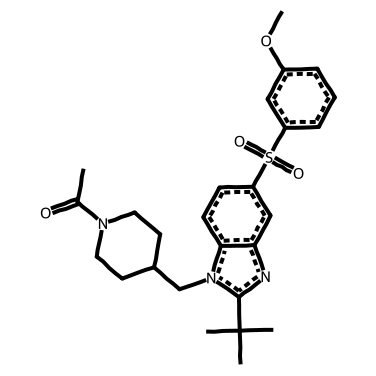 COc1cccc(S(=O)(=O)c2ccc3c(c2)nc(C(C)(C)C)n3CC2CCN(C(C)=O)CC2)c1